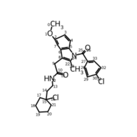 COc1ccc2c(c1)c(CC(=O)NCCC1(Cl)CCCCC1)c(C)n2C(=O)c1ccc(Cl)cc1